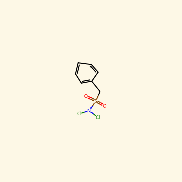 O=S(=O)(Cc1ccccc1)N(Cl)Cl